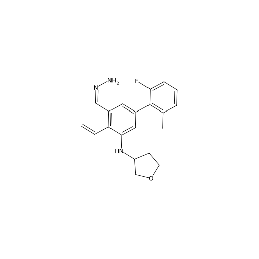 C=Cc1c(/C=N\N)cc(-c2c(C)cccc2F)cc1NC1CCOC1